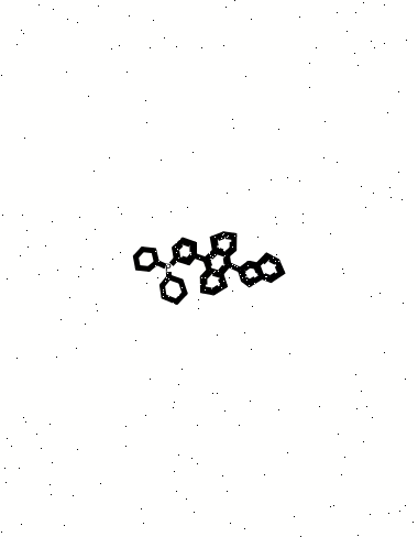 c1cc(-c2c3ccccc3c(-c3ccc4ccccc4c3)c3ccccc23)cc(P(C2CCCCC2)C2CCCCC2)c1